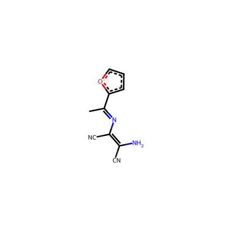 CC(=N/C(C#N)=C(\N)C#N)c1ccco1